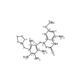 Bc1c(B)c(CN2CCCC2)c(B)c(CN2CC(=O)Nc3c(N)nc(OCCCC)nc32)c1B